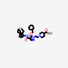 O=NC(=O)C1CCN(CCn2ncc(C(=O)NC3C4CC5CCCC3C(C5)C4)c2OCC2CCCCC2)CC1